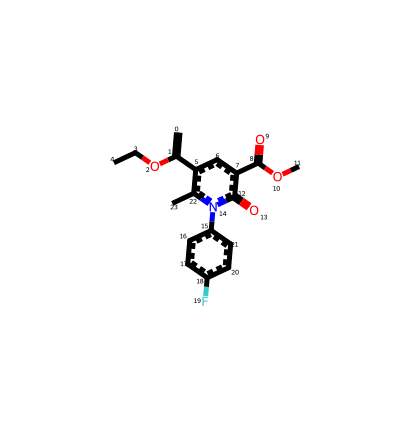 C=C(OCC)c1cc(C(=O)OC)c(=O)n(-c2ccc(F)cc2)c1C